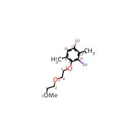 COCCOCCOc1c(C)cc(I)c(C)c1I